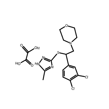 Cc1nc(SC(CN2CCOCC2)c2ccc(Cl)c(Cl)c2)n[nH]1.O=C(O)C(=O)O